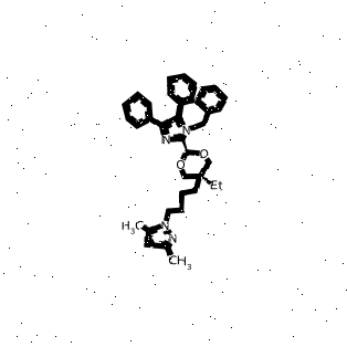 CC[C@]1(CCCCn2nc(C)cc2C)CO[C@H](c2nc(-c3ccccc3)c(-c3ccccc3)n2Cc2ccccc2)OC1